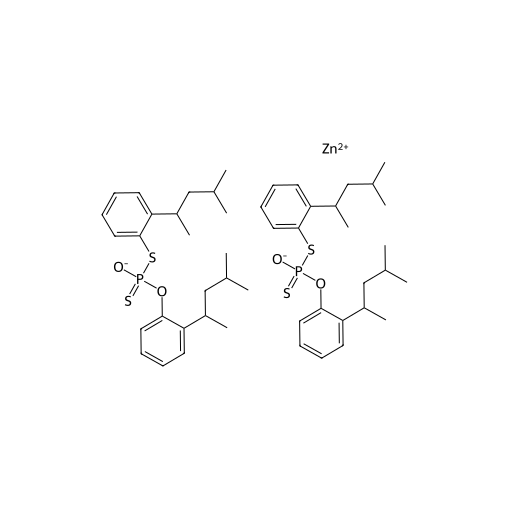 CC(C)CC(C)c1ccccc1OP([O-])(=S)Sc1ccccc1C(C)CC(C)C.CC(C)CC(C)c1ccccc1OP([O-])(=S)Sc1ccccc1C(C)CC(C)C.[Zn+2]